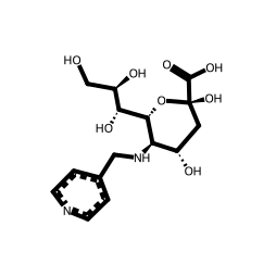 O=C(O)[C@]1(O)C[C@H](O)[C@@H](NCc2ccncc2)[C@H]([C@H](O)[C@H](O)CO)O1